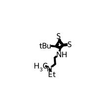 CCN(C)CCNc1c(C(C)(C)C)c(=S)c1=S